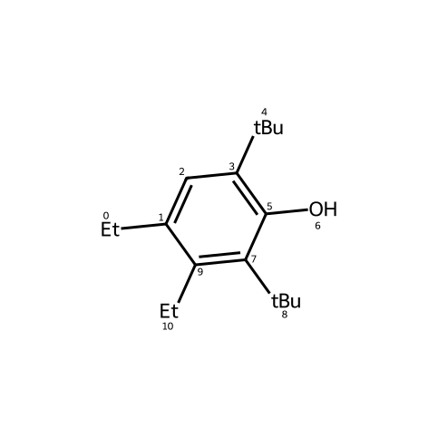 CCc1cc(C(C)(C)C)c(O)c(C(C)(C)C)c1CC